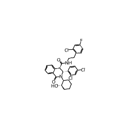 O=C(NCCc1ccc(F)cc1Cl)[C@@H]1c2ccccc2C(=O)N([C@H]2CCCC[C@@H]2O)[C@H]1c1ccc(Cl)cc1Cl